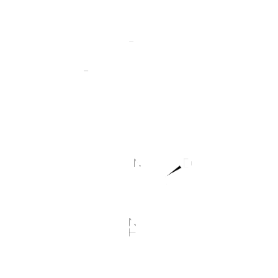 CC[C@H]1CNCCN1c1ccc(F)c(F)c1